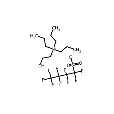 CCC[N+](CCC)(CCC)CCC.O=S(=O)([O-])C(F)(F)C(F)(F)C(F)(F)C(F)(F)F